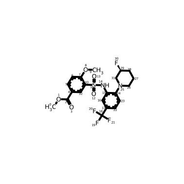 COC(=O)c1ccc(OC)c(S(=O)(=O)Nc2cc(C(F)(F)F)ccc2N2CCC[C@H](F)C2)c1